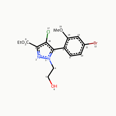 CCOC(=O)c1nn(CCO)c(-c2ccc(Br)cc2OC)c1Cl